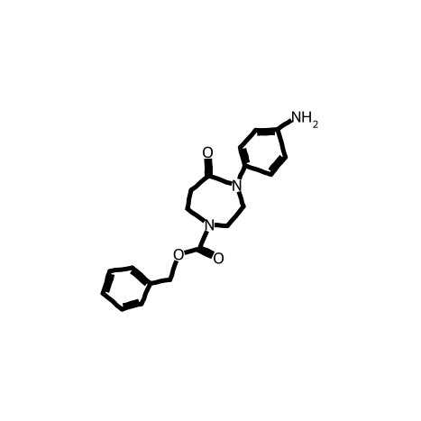 Nc1ccc(N2CCN(C(=O)OCc3ccccc3)CCC2=O)cc1